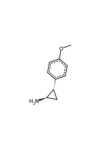 COc1ccc([C@@H]2C[C@H]2N)cc1